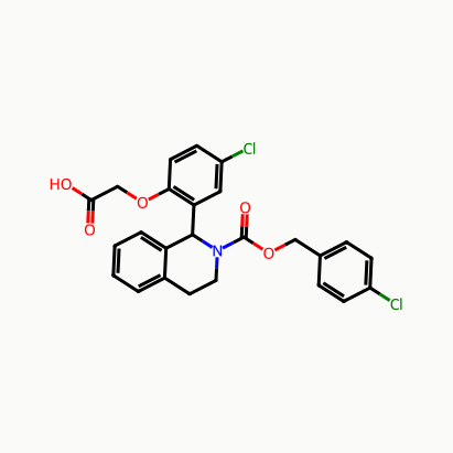 O=C(O)COc1ccc(Cl)cc1C1c2ccccc2CCN1C(=O)OCc1ccc(Cl)cc1